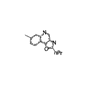 CCCc1nc2cnc3cc(C)ccc3c2o1